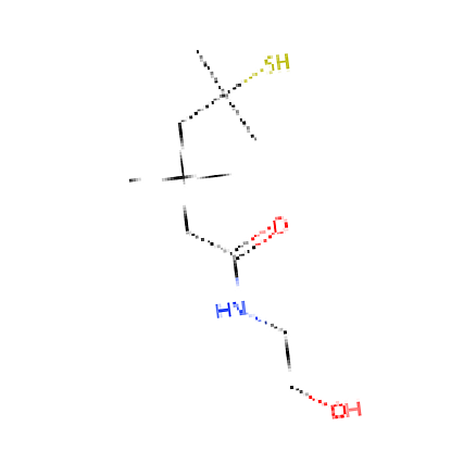 CC(C)(S)CC(C)(C)CC(=O)NCCO